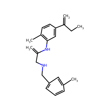 C=C(CNCc1cccc(C)c1)Nc1cc(C(=C)CC)ccc1C